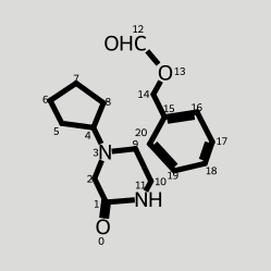 O=C1CN(C2CCCC2)CCN1.O=COCc1ccccc1